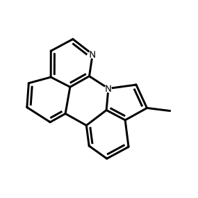 Cc1cn2c3nccc4cccc(c5cccc1c52)c43